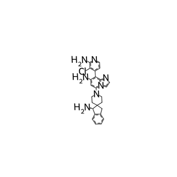 Nc1cc(N2CCC3(CC2)Cc2ccccc2[C@H]3N)n2ccnc2c1-c1ccnc(N)c1Cl